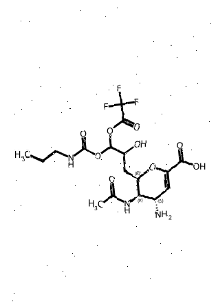 CCCNC(=O)OC(OC(=O)C(F)(F)F)C(O)C[C@H]1OC(C(=O)O)=C[C@H](N)[C@H]1NC(C)=O